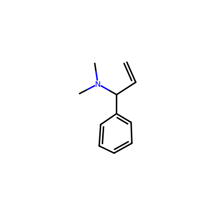 C=CC(c1ccccc1)N(C)C